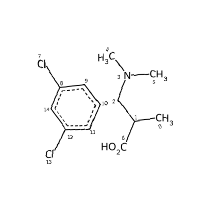 CC(CN(C)C)C(=O)O.Clc1cccc(Cl)c1